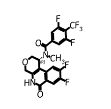 CN(C(=O)c1cc(F)c(C(F)(F)F)c(F)c1)[C@H]1COCc2[nH]c(=O)c3cc(F)c(F)cc3c21